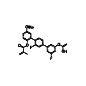 C=C(O)Oc1cc(F)cc(-c2ccc(-c3cc(OC)ccc3OC(=O)C(=C)C)c(F)c2)c1